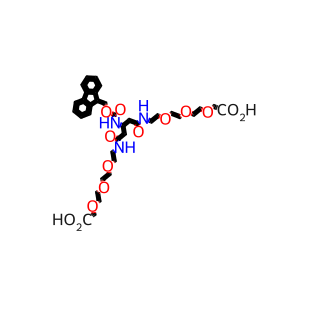 O=C(O)COCCOCCOCCNC(=O)CC(CC(=O)NCCOCCOCCOCC(=O)O)NC(=O)OCC1c2ccccc2-c2ccccc21